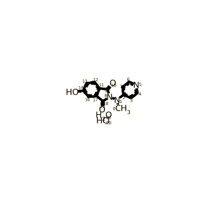 CN(c1ccncc1)N1C(=O)c2ccc(O)cc2C1=O.Cl.O